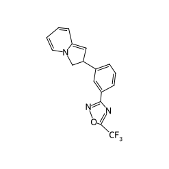 FC(F)(F)c1nc(-c2cccc(C3C=C4C=CC=CN4C3)c2)no1